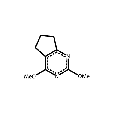 COc1nc2c(c(OC)n1)CCC2